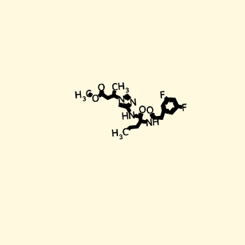 CCCC(NC(=O)Cc1cc(F)cc(F)c1)C(=O)Nc1cn(C(C)CC(=O)OC)cn1